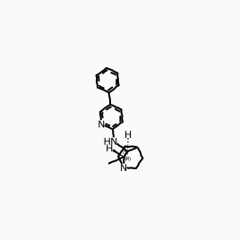 C[C@@H]1[C@@H](Nc2ccc(-c3ccccc3)cn2)C2CCN1CC2